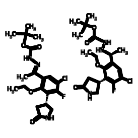 CCOc1c(/C(C)=N/NC(=O)OC(C)(C)C)cc(Cl)c(F)c1[C@@H]1CNC(=O)C1.CCOc1c([C@H](C)NNC(=O)OC(C)(C)C)cc(Cl)c(F)c1[C@@H]1CNC(=O)C1